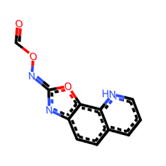 O=CON=c1nc2ccc3ccc[nH]c3c2o1